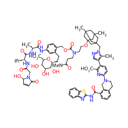 CNC(=O)CCN(CCOC12CC3(C)CC(C)(CC(Cn4ncc(-c5ccc(N6CCc7cccc(C(=O)Nc8nc9ccccc9s8)c7C6)nc5C(=O)O)c4C)(C3)C1)C2)C(=O)OCc1ccc(NC(=O)[C@H](C)NC(=O)[C@@H](NC(=O)CN2C(=O)C=CC2O)C(C)C)cc1CC[C@@H]1O[C@H](C(=O)O)[C@@H](O)[C@H](O)[C@H]1O